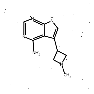 CN1CC(c2c[nH]c3ncnc(N)c23)C1